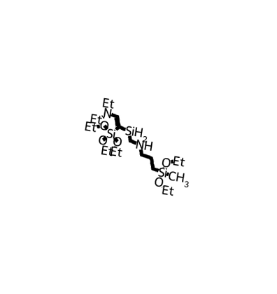 CCO[Si](C)(CCCNC[SiH2]C(=CN(CC)CC)[Si](OCC)(OCC)OCC)OCC